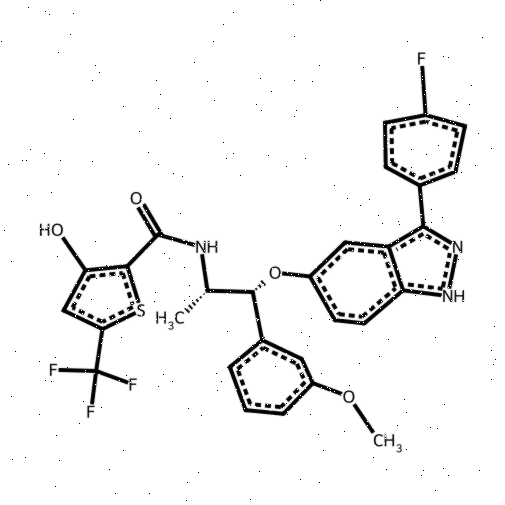 COc1cccc([C@@H](Oc2ccc3[nH]nc(-c4ccc(F)cc4)c3c2)[C@H](C)NC(=O)c2sc(C(F)(F)F)cc2O)c1